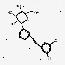 OC[C@H]1O[C@H](c2cccc(C=Cc3cc(Cl)cc(Cl)c3)c2)[C@@H](O)[C@@H](O)[C@@H]1O